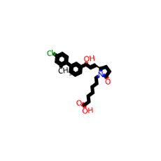 Cc1cc(Cl)ccc1-c1cccc(C(O)C=C[C@H]2CCC(=O)N2CCCCCCC(=O)O)c1